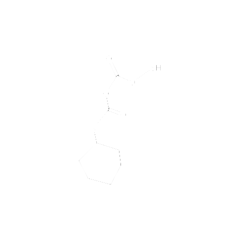 O=C(OS)OC(=O)SC1CCCCC1